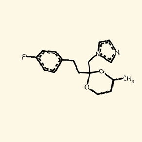 CC1CCOC(CCc2ccc(F)cc2)(Cn2ccnc2)O1